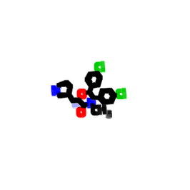 CN1C(=O)/C(=C/c2cccnc2)OC(c2ccc(Cl)cc2)C1c1ccc(Cl)cc1